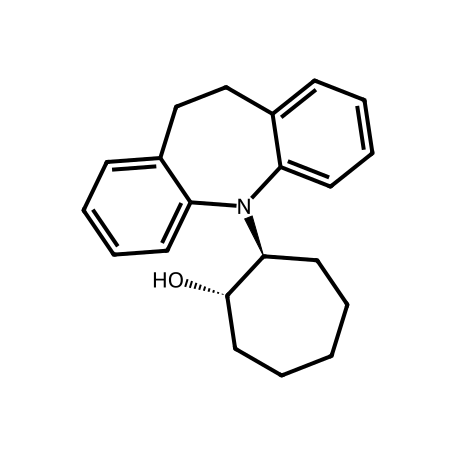 O[C@H]1CCCCC[C@@H]1N1c2ccccc2CCc2ccccc21